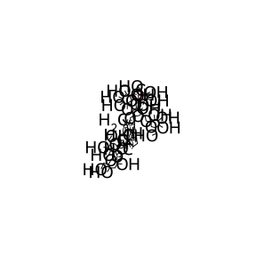 C=C1C[C@@]23CCC4[C@](C)(C(=O)OC5OC(CO)C(O)C(O)C5OC5OC(CO)C(O)CC5O)CCC[C@@]4(C)[C@@H]2CC[C@]1(OC1OC(COC2OC(CO)C(O)C(O)C2O)C(O)C(OC2OC(CO)C(O)C(O)C2O)C1OC1OC(CO)C(O)C(O)C1O)C3